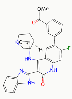 COC(=O)c1cccc(-c2cc3c(N[C@H]4CN5CCC4CC5)c(-c4nc5ccccc5[nH]4)c(=O)[nH]c3cc2F)c1